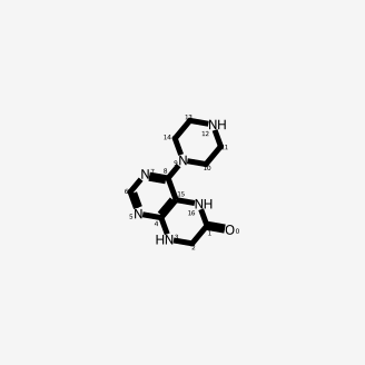 O=C1CNc2ncnc(N3CCNCC3)c2N1